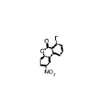 O=c1oc2ccc([N+](=O)[O-])cc2c2cccc(F)c12